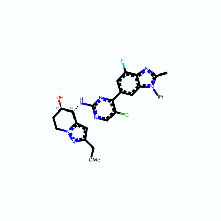 COCc1cc2n(n1)CC[C@@H](O)[C@@H]2Nc1ncc(Cl)c(-c2cc(F)c3nc(C)n(C(C)C)c3c2)n1